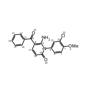 COc1ccc(-n2c(N)c(C(=O)c3ccccc3)ccc2=O)cc1Cl